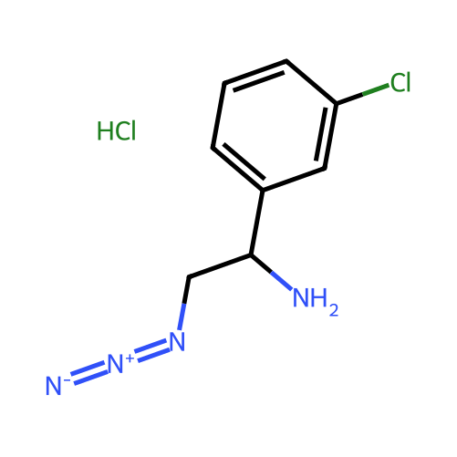 Cl.[N-]=[N+]=NCC(N)c1cccc(Cl)c1